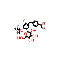 [2H]C([2H])([2H])Oc1cc(Cl)c(Cc2ccc(C(Br)CBr)cc2)cc1[C@@H]1O[C@H](CO)[C@@H](O)[C@H](O)[C@H]1O